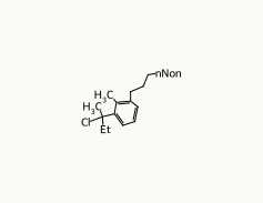 CCCCCCCCCCCCc1cccc(C(C)(Cl)CC)c1C